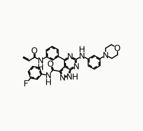 C=CC(=O)Nc1cccc(-c2nc(Nc3cccc(N4CCOCC4)c3)nc3[nH]nc(C(=O)Nc4cccc(F)c4)c23)c1